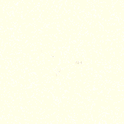 CC(=O)N1CCC(N)CC1.Cl.N